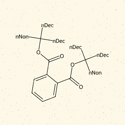 CCCCCCCCCCC(CCCCCCCCC)(CCCCCCCCCC)OC(=O)c1ccccc1C(=O)OC(CCCCCCCCC)(CCCCCCCCCC)CCCCCCCCCC